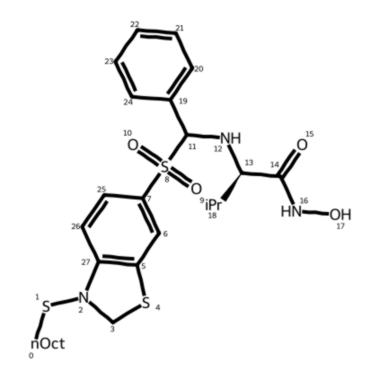 CCCCCCCCSN1CSc2cc(S(=O)(=O)C(N[C@@H](C(=O)NO)C(C)C)c3ccccc3)ccc21